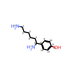 NCCCCCC(N)c1ccc(O)cc1